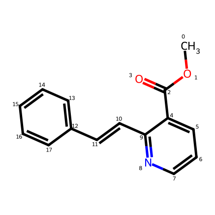 COC(=O)c1cccnc1/C=C/c1ccccc1